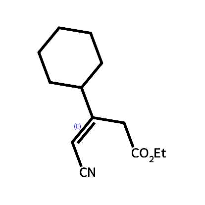 CCOC(=O)C/C(=C\C#N)C1CCCCC1